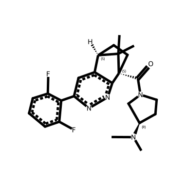 CN(C)[C@@H]1CCN(C(=O)[C@]23CC[C@H](c4cc(-c5c(F)cccc5F)nnc42)C3(C)C)C1